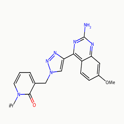 COc1ccc2c(-c3cn(Cc4cccn(C(C)C)c4=O)nn3)nc(N)nc2c1